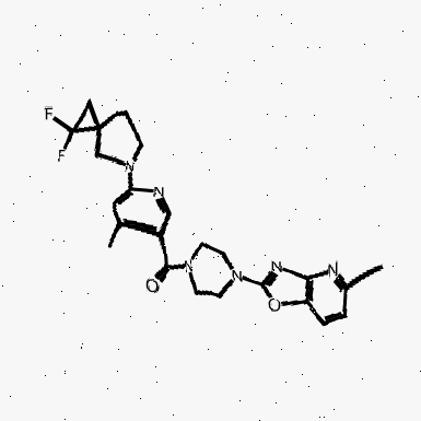 Cc1ccc2oc(N3CCN(C(=O)c4cnc(N5CCC6(C5)CC6(F)F)cc4C)CC3)nc2n1